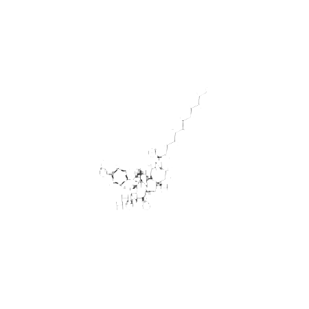 CCCCCCCCCCCC(=O)N1CC[C@H]2C[C@@H](C(=O)NO)N(S(=O)(=O)c3ccc(OC)cc3)[C@H]2C1